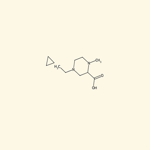 C1CC1.CCN1CCN(C)C(C(=O)O)C1